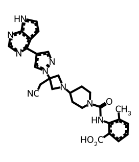 Cc1cccc(C(=O)O)c1NC(=O)N1CCC(N2CC(CC#N)(n3cc(-c4ncnc5[nH]ccc45)cn3)C2)CC1